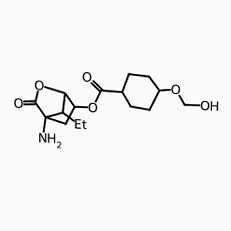 CCC1C2OC(=O)C1(N)CC2OC(=O)C1CCC(OCO)CC1